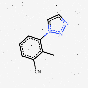 Cc1c(C#N)cccc1-n1ccnn1